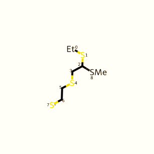 CCSC(CSCC[S])SC